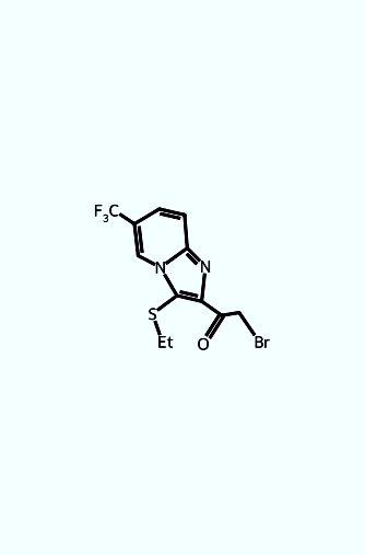 CCSc1c(C(=O)CBr)nc2ccc(C(F)(F)F)cn12